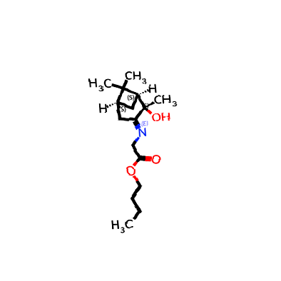 CCCCOC(=O)C/N=C1\C[C@@H]2C[C@@H](C2(C)C)[C@]1(C)O